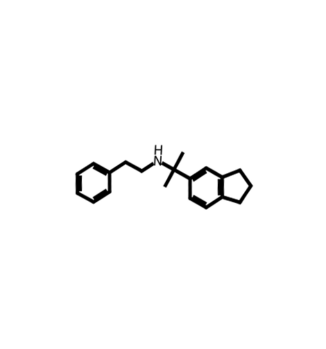 CC(C)(NCCc1ccccc1)c1ccc2c(c1)CCC2